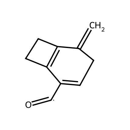 C=C1CC=C([C]=O)C2=C1CC2